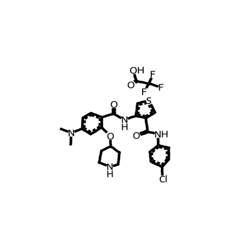 CN(C)c1ccc(C(=O)Nc2cscc2C(=O)Nc2ccc(Cl)cc2)c(OC2CCNCC2)c1.O=C(O)C(F)(F)F